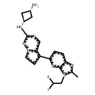 Cc1nc2ccc(-c3ccn4nc(N[C@H]5C[C@@H](N)C5)ncc34)nc2n1CC(F)F